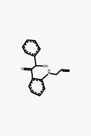 C=CCNc1ccccc1C(=O)C(O)c1ccccc1